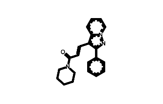 O=C(C=Cc1c(-c2ccccc2)nn2ccccc12)N1CCCCC1